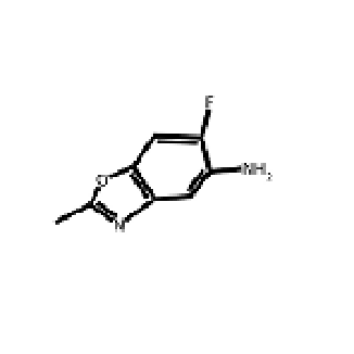 Cc1nc2cc(N)c(F)cc2o1